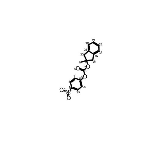 CC1(OC(=O)Oc2ccc([N+](=O)[O-])cc2)Cc2ccccc2C1